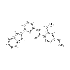 COc1ccc(C(=O)Nc2cccc(-c3nc4ncccc4o3)c2)c(OC)c1